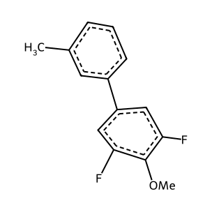 COc1c(F)cc(-c2cccc(C)c2)cc1F